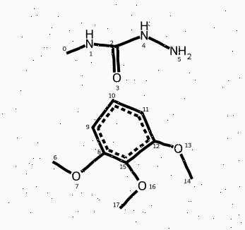 CNC(=O)NN.COc1cccc(OC)c1OC